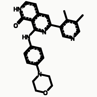 Cc1cncc(-c2cc3cc[nH]c(=O)c3c(Nc3ccc(N4CCOCC4)cc3)n2)c1C